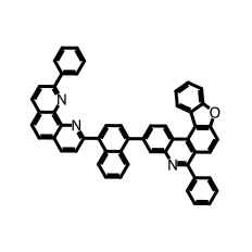 c1ccc(-c2ccc3ccc4ccc(-c5ccc(-c6ccc7c(c6)nc(-c6ccccc6)c6ccc8oc9ccccc9c8c67)c6ccccc56)nc4c3n2)cc1